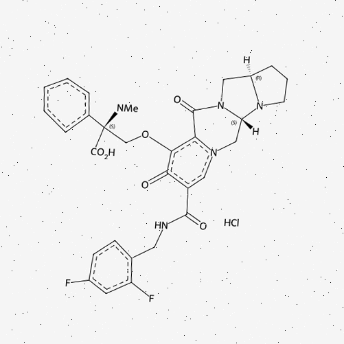 CN[C@@](COc1c2n(cc(C(=O)NCc3ccc(F)cc3F)c1=O)C[C@@H]1N(C[C@H]3CCCN31)C2=O)(C(=O)O)c1ccccc1.Cl